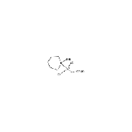 CCCCCCCCCC[N+](CC)(CC)C1(CCCC)CCCCC1